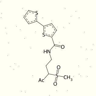 CC(=O)C(CCNC(=O)c1ccc(-c2cccs2)s1)S(C)(=O)=O